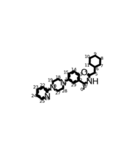 C[C@H](NC(=O)CC1CCCCC1)c1cccc(N2CCN(c3ccccn3)CC2)c1